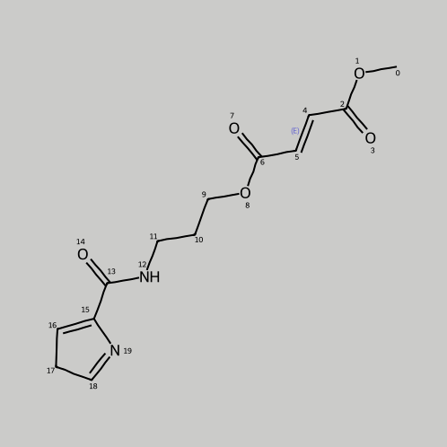 COC(=O)/C=C/C(=O)OCCCNC(=O)C1=CCC=N1